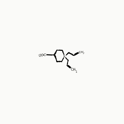 C=CC[N+]1(CC=C)CCC(C(=O)[O-])CC1